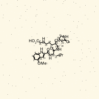 COc1cccc2[nH]c(C(=O)N[C@@H](CC(C)C)C(=O)N[C@@H](C[C@@H]3CCNC3=O)C(C#N)CCCNCC(=O)O)cc12